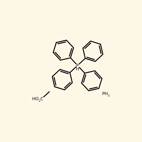 CC(=O)O.P.c1ccc([PH](c2ccccc2)(c2ccccc2)c2ccccc2)cc1